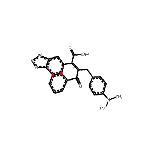 CN(C)c1ccc(C/C(C(=O)c2ccccc2)=C(\C(=O)O)c2ccc3nsnc3c2)cc1